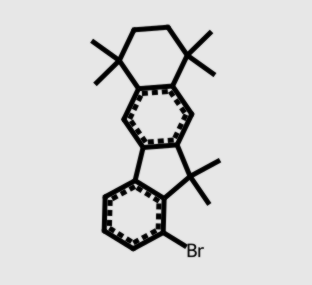 CC1(C)CCC(C)(C)c2cc3c(cc21)-c1cccc(Br)c1C3(C)C